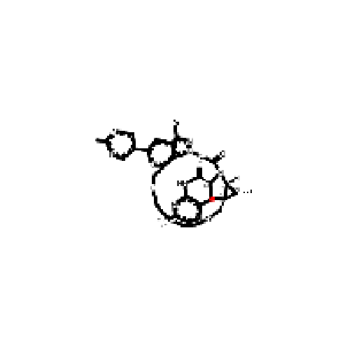 CC(=O)c1nn2c3c(nc(-c4cnc(C)nc4)cc13)CCCCCCCOC[C@@]13C[C@@H](C(=O)Nc4nc(C(F)(F)F)ccc4C)N(C(=O)C2)[C@@H]1[C@@H]3C